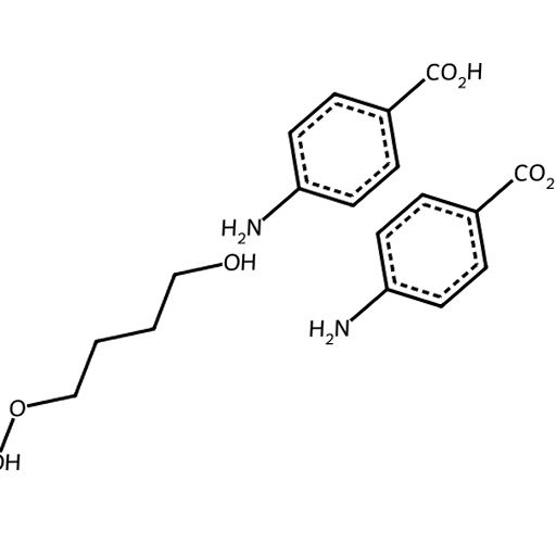 Nc1ccc(C(=O)O)cc1.Nc1ccc(C(=O)O)cc1.OCCCCOO